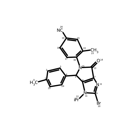 Cc1ccc(C2c3c(nc(Br)n3C(C)C)C(=O)N2c2ccc(C#N)cc2C)cc1